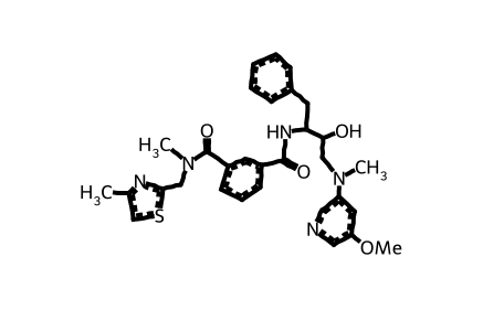 COc1cncc(N(C)CC(O)C(Cc2ccccc2)NC(=O)c2cccc(C(=O)N(C)Cc3nc(C)cs3)c2)c1